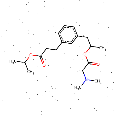 CC(C)OC(=O)CCc1cccc(CC(C)OC(=O)CN(C)C)c1